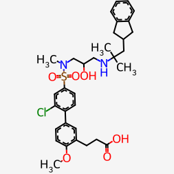 COc1ccc(-c2ccc(S(=O)(=O)N(C)CC(O)CNC(C)(C)CC3Cc4ccccc4C3)cc2Cl)cc1CCC(=O)O